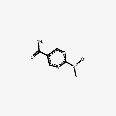 C[S+]([O-])c1ncc(C(N)=O)cn1